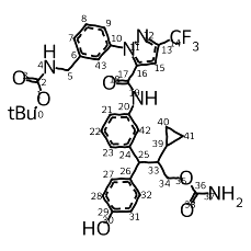 CC(C)(C)OC(=O)NCc1cccc(-n2nc(C(F)(F)F)cc2C(=O)Nc2cccc(C(c3ccc(O)cc3)C(COC(N)=O)C3CC3)c2)c1